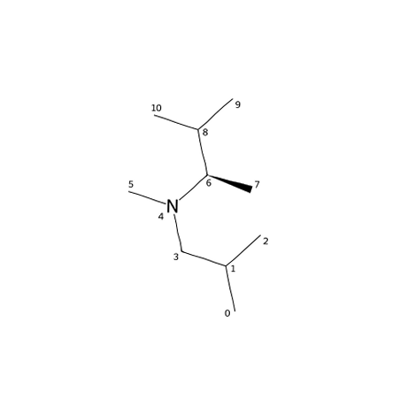 CC(C)CN(C)[C@H](C)C(C)C